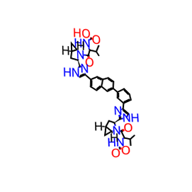 COC(=O)NC(C(=O)N1[C@@H]2C[C@@H]2C[C@H]1c1nc(-c2cccc(-c3ccc4cc(-c5c[nH]c([C@H]6C[C@@H]7C[C@@H]7N6C(=O)C(NC(=O)O)C(C)C)n5)ccc4c3)c2)c[nH]1)C(C)C